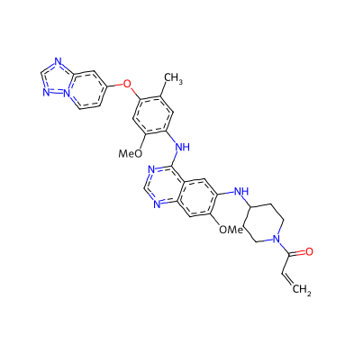 C=CC(=O)N1CCC(Nc2cc3c(Nc4cc(C)c(Oc5ccn6ncnc6c5)cc4OC)ncnc3cc2OC)CC1